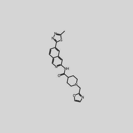 Cc1nnc(-c2ccc3cnc(NC(=O)C4CCN(Cc5ncco5)CC4)cc3c2)s1